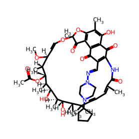 CO[C@H]1/C=C/O[C@@]2(C)Oc3c(C)c(O)c4c(c3C2=O)C(=O)C(/C=N/N2CCN(C3CCCC3)CC2)=C(NC(=O)/C(C)=C\C=C\C(C)(C)[C@H](C)[C@H](O)[C@@H](C)[C@@H](O)[C@@H](C)[C@H](OC(C)=O)[C@@H]1C)C4=O